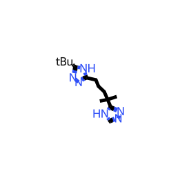 CC(C)(C)c1nnc(CCCC(C)(C)c2nnc[nH]2)[nH]1